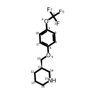 FC(F)(F)Oc1ccc(OC[C@@H]2CCCNC2)cc1